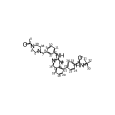 CC(=O)N1CCN(Cc2cccc(Nc3ncc4cccc(-c5ccc(C(=O)NC(C)(C)C)cc5)c4n3)c2)CC1